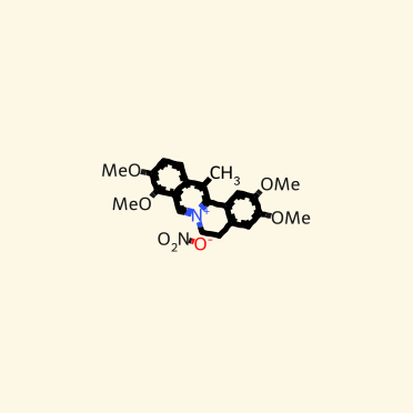 COc1cc2c(cc1OC)-c1c(C)c3ccc(OC)c(OC)c3c[n+]1CC2.O=[N+]([O-])[O-]